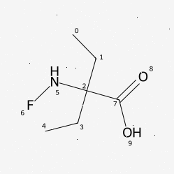 CCC(CC)(NF)C(=O)O